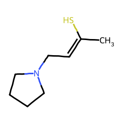 CC(S)=CCN1CCCC1